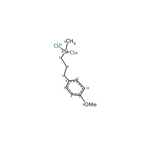 COc1ccc(CCC[Si](C)(Cl)Cl)cc1